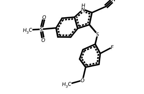 COc1ccc(Sc2c(C#N)[nH]c3cc(S(C)(=O)=O)ccc23)c(F)c1